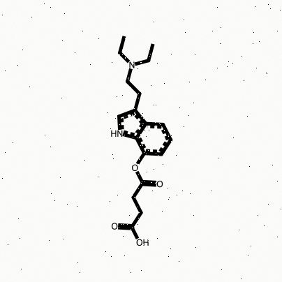 CCN(CC)CCc1c[nH]c2c(OC(=O)CCC(=O)O)cccc12